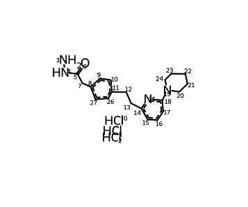 Cl.Cl.Cl.NNC(=O)Cc1ccc(CCc2cccc(N3CCCCC3)n2)cc1